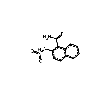 NC(=P)c1c(N[SH](=O)=O)ccc2ccccc12